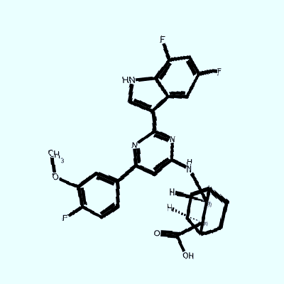 COc1cc(-c2cc(N[C@@H]3C4CCC(CC4)[C@H]3C(=O)O)nc(-c3c[nH]c4c(F)cc(F)cc34)n2)ccc1F